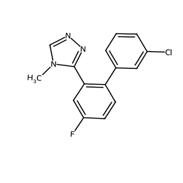 Cn1cnnc1-c1cc(F)ccc1-c1cccc(Cl)c1